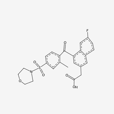 Cc1cc(S(=O)(=O)N2CCOCC2)ccc1C(=O)c1cc(CC(=O)O)cc2ccc(F)cc12